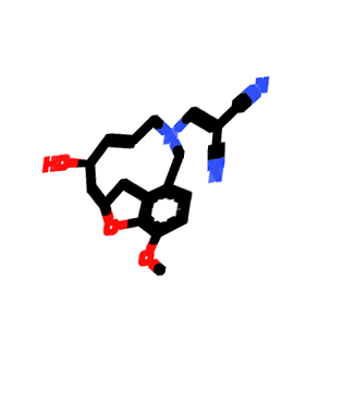 COc1ccc2c3c1OC(C3)C[C@@H](O)/C=C/CN(C=C(C#N)C#N)C2